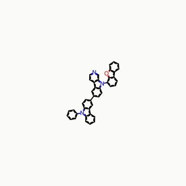 c1ccc(-n2c3ccccc3c3cc(-c4ccc5c(c4)c4ccncc4n5-c4cccc5c4oc4ccccc45)ccc32)cc1